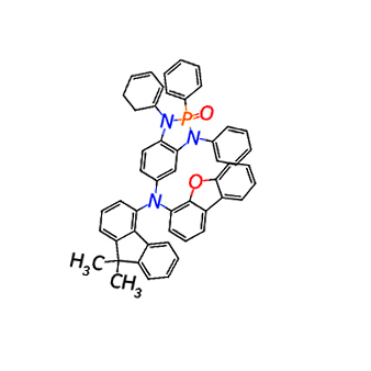 CC1(C)c2ccccc2-c2c(N(c3ccc4c(c3)N(c3ccccc3)P(=O)(c3ccccc3)N4C3=CC=CCC3)c3cccc4c3oc3ccccc34)cccc21